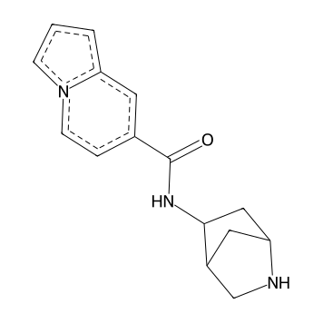 O=C(NC1CC2CC1CN2)c1ccn2cccc2c1